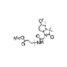 COC(=O)CCC(C)(C)NC(=O)CN1C(=O)C(C)(C)c2cc(C(F)(F)F)ccc21